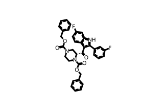 O=C(c1c(-c2cccc(F)c2)[nH]c2cc(F)ccc12)[C@H]1CN(C(=O)OCc2ccccc2)CCN1C(=O)OCc1ccccc1